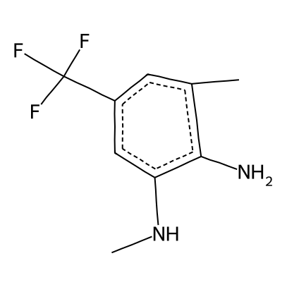 CNc1cc(C(F)(F)F)cc(C)c1N